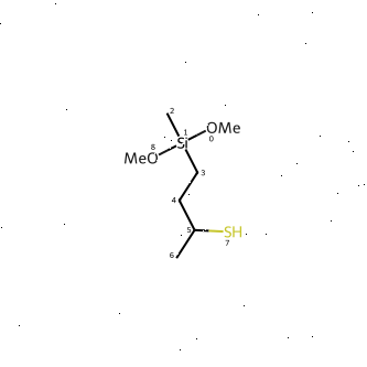 CO[Si](C)(CCC(C)S)OC